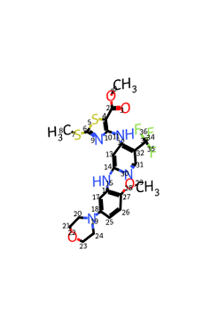 COC(=O)c1sc(SC)nc1Nc1cc(Nc2cc(N3CCOCC3)ccc2OC)ncc1C(F)(F)F